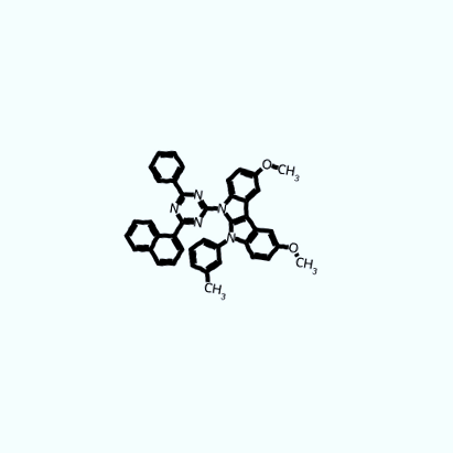 COc1ccc2c(c1)c1c3cc(OC)ccc3n(-c3nc(-c4ccccc4)nc(-c4cccc5ccccc45)n3)c1n2-c1cccc(C)c1